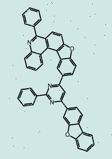 c1ccc(-c2nc(-c3ccc4c(c3)oc3ccccc34)cc(-c3ccc4oc5ccc6c(-c7ccccc7)nc7ccccc7c6c5c4c3)n2)cc1